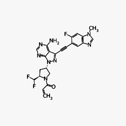 C=CC(=O)N1C[C@@H](n2nc(C#Cc3cc4ncn(C)c4cc3F)c3c(N)ncnc32)C[C@@H]1C(F)F